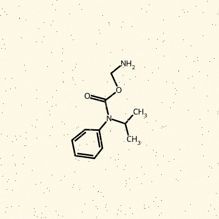 CC(C)N(C(=O)OCN)c1ccccc1